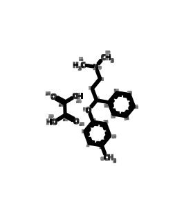 Cc1ccc(OC(CCN(C)C)c2ccccc2)cc1.O=C(O)C(=O)O